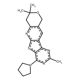 Cc1nc(N2CCCC2)c2sc3nc4c(cc3c2n1)COC(C)(C)C4